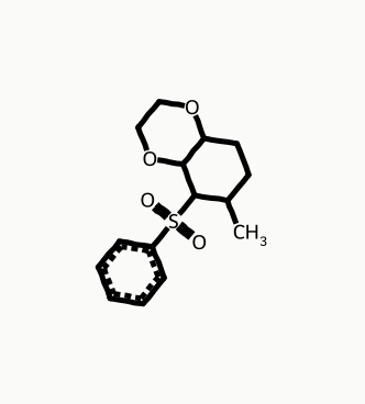 CC1CCC2OCCOC2C1S(=O)(=O)c1ccccc1